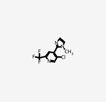 Cn1ccnc1-c1cc(C(F)(F)F)ncc1Cl